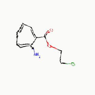 Nc1ccccc1C(=O)OCCCl